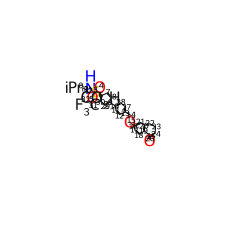 CC(C)[C@@H](NS(=O)(=O)c1ccc(-c2ccc(COc3ccc4c(c3)CCCC4=O)cc2)cc1C(F)(F)F)C(=O)O